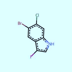 Clc1cc2[nH]cc(I)c2cc1Br